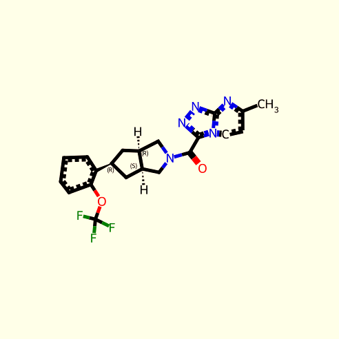 Cc1ccn2c(C(=O)N3C[C@H]4C[C@@H](c5ccccc5OC(F)(F)F)C[C@H]4C3)nnc2n1